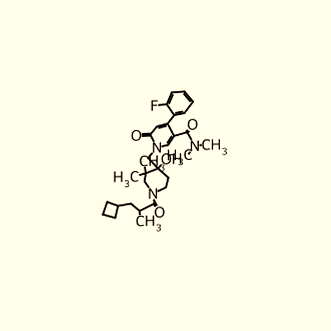 CC(CC1CCC1)C(=O)N1CCC(O)(Cn2cc(C(=O)N(C)C)c(-c3ccccc3F)cc2=O)C(C)(C)C1